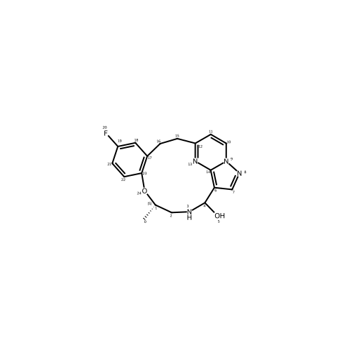 C[C@H]1CNC(O)c2cnn3ccc(nc23)CCc2cc(F)ccc2O1